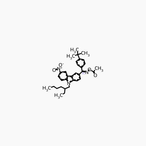 CCCCC(CC)Cn1c2ccc(/C(=N/OC(C)=O)c3ccc(C(C)(C)C)cc3)cc2c2cc([N+](=O)[O-])ccc21